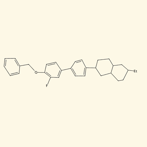 CCC1CCC2CC(c3ccc(-c4ccc(OCc5ccccc5)c(F)c4)cc3)CCC2C1